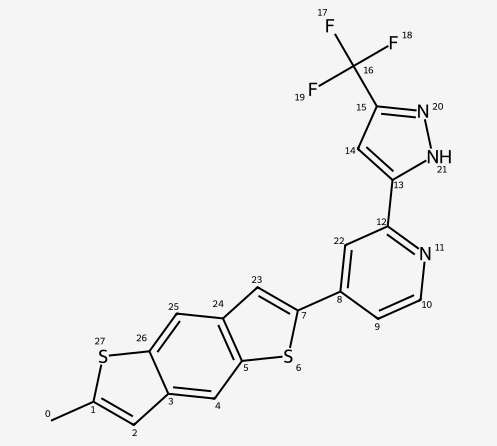 Cc1cc2cc3sc(-c4ccnc(-c5cc(C(F)(F)F)n[nH]5)c4)cc3cc2s1